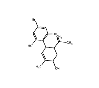 C=C(C)C1CC(O)C(C)=CC1c1c(O)cc(Br)cc1O